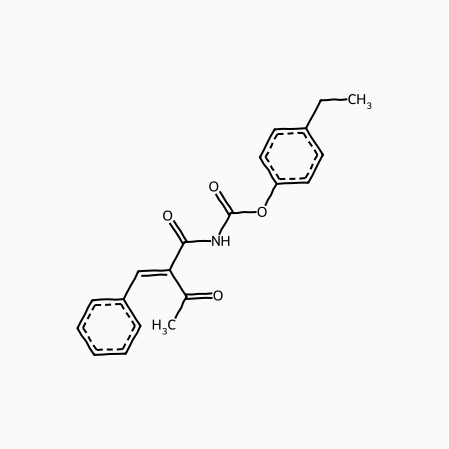 CCc1ccc(OC(=O)NC(=O)C(=Cc2ccccc2)C(C)=O)cc1